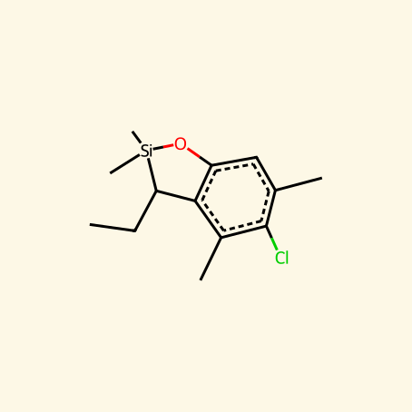 CCC1c2c(cc(C)c(Cl)c2C)O[Si]1(C)C